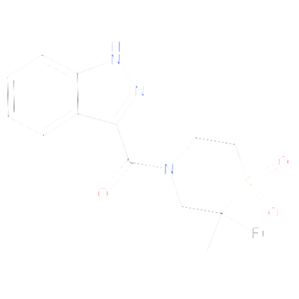 CCC1(C)CN(C(=O)c2n[nH]c3ccccc23)CCS1(=O)=O